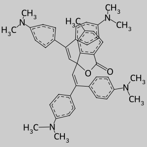 Cc1ccc2c(c1)C(C=C(c1ccc(N(C)C)cc1)c1ccc(N(C)C)cc1)(C=C(c1ccc(N(C)C)cc1)c1ccc(N(C)C)cc1)OC2=O